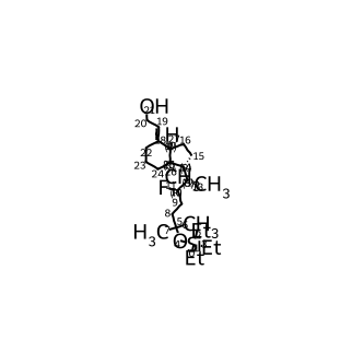 CC[Si](CC)(CC)OC(C)(C)CC[C@@H](F)[C@@H](C)[C@H]1CC[C@H]2C(=CCO)CCC[C@]12C